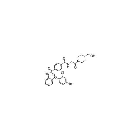 O=C(NCC(=O)N1CCC(CO)CC1)c1ccc(S(=O)(=O)Nc2ccccc2Oc2ccc(Br)cc2Cl)cc1